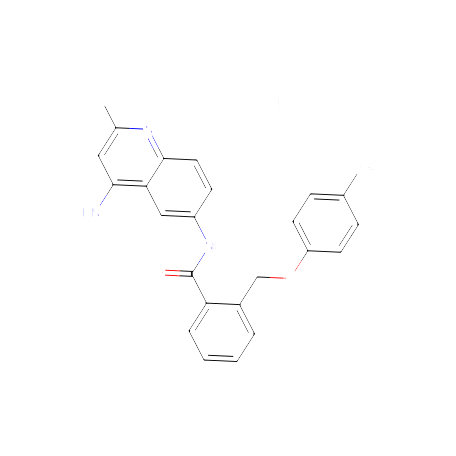 Cc1cc(N)c2cc(NC(=O)c3ccccc3COc3ccc(C(C)(C)C)cc3)ccc2n1.Cl